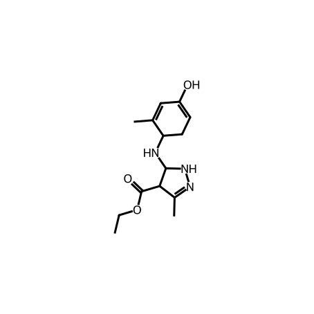 CCOC(=O)C1C(C)=NNC1NC1CC=C(O)C=C1C